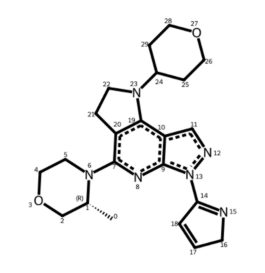 C[C@@H]1COCCN1c1nc2c(cnn2C2=NCC=C2)c2c1CCN2C1CCOCC1